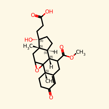 COC(=O)C1CC2=CC(=O)CC[C@]2(C)C23OC2C[C@@]2(C)[C@@H](CC[C@]2(O)CCC(=O)O)[C@H]13